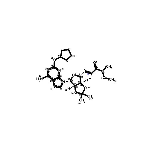 CON(C)C(=O)/C=C/[C@H]1O[C@@H](n2cnc3c(N)nc(OC4CCCC4)nc32)[C@@H]2OC(C)(C)O[C@@H]21